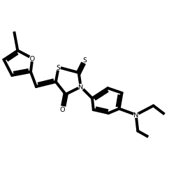 CCN(CC)c1ccc(N2C(=O)/C(=C/c3ccc(C)o3)SC2=S)cc1